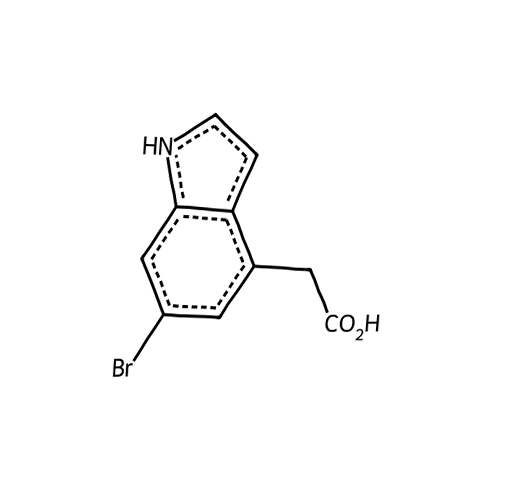 O=C(O)Cc1cc(Br)cc2[nH]ccc12